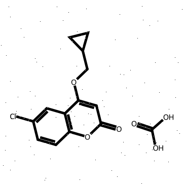 O=C(O)O.O=c1cc(OCC2CC2)c2cc(Cl)ccc2o1